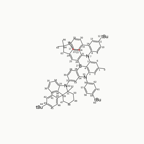 Cc1cc2c3c(c1)N(c1ccc(C(C)(C)C)cc1-c1ccccc1)c1cc4c(cc1B3c1ccc(N3c5ccccc5C5(c6ccc(C(C)(C)C)cc6)CCCCC35C)cc1N2c1ccc(C(C)(C)C)cc1)CC(C)(C)C4